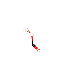 O=COS